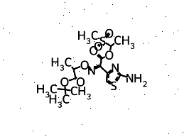 CC(ON=C(C(=O)OC(C)S(C)(=O)=O)c1csc(N)n1)C(=O)OC(C)(C)C